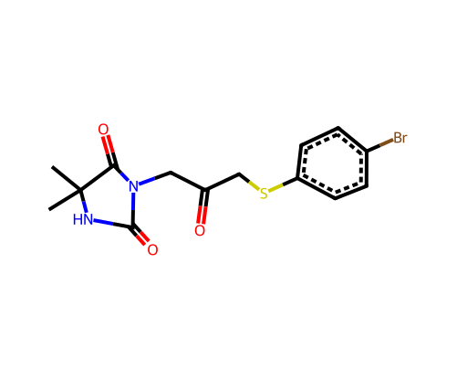 CC1(C)NC(=O)N(CC(=O)CSc2ccc(Br)cc2)C1=O